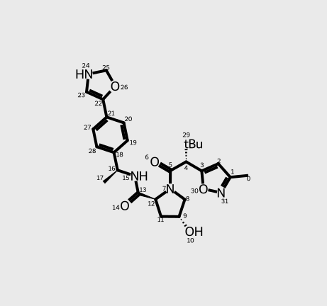 Cc1cc([C@H](C(=O)N2C[C@H](O)C[C@H]2C(=O)N[C@@H](C)c2ccc(C3=CNCO3)cc2)C(C)(C)C)on1